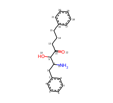 NC(Cc1ccccc1)C(O)C(=O)CCCc1ccccc1